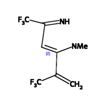 C=C(/C(=C/C(=N)C(F)(F)F)NC)C(F)(F)F